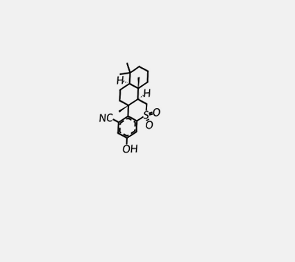 CC1(C)CCC[C@]2(C)[C@H]3CS(=O)(=O)c4cc(O)cc(C#N)c4[C@]3(C)CC[C@@H]12